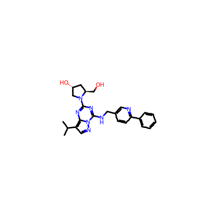 CC(C)c1cnn2c(NCc3ccc(-c4ccccc4)nc3)nc(N3C[C@H](O)C[C@H]3CO)nc12